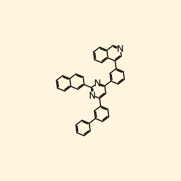 c1ccc(-c2cccc(-c3cc(-c4cccc(-c5cncc6ccccc56)c4)nc(-c4ccc5ccccc5c4)n3)c2)cc1